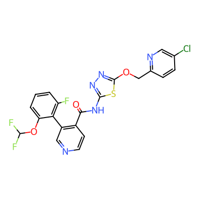 O=C(Nc1nnc(OCc2ccc(Cl)cn2)s1)c1ccncc1-c1c(F)cccc1OC(F)F